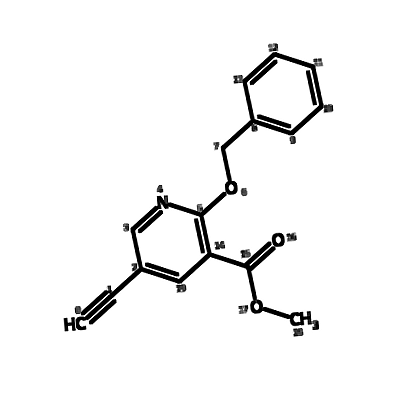 C#Cc1cnc(OCc2ccccc2)c(C(=O)OC)c1